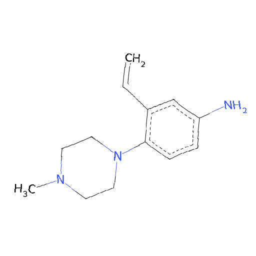 C=Cc1cc(N)ccc1N1CCN(C)CC1